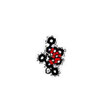 c1ccc(-c2ccc(N(c3ccccc3-c3ccc4c(c3)oc3ccccc34)c3ccccc3-c3cccc4cccc(C5CCCCC5)c34)c(-c3ccccc3)c2)cc1